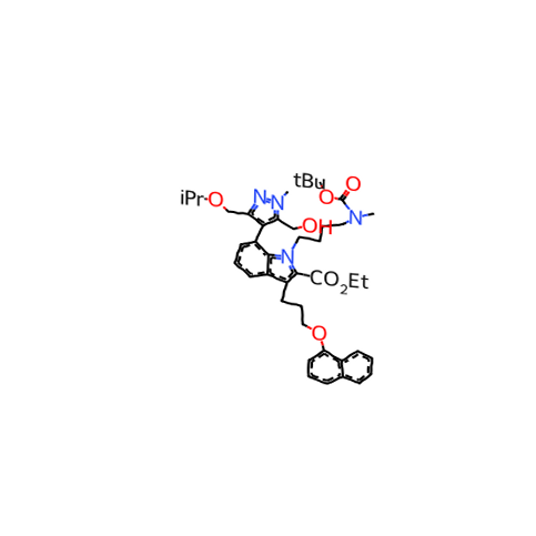 CCOC(=O)c1c(CCCOc2cccc3ccccc23)c2cccc(-c3c(COC(C)C)nn(C)c3CO)c2n1CCCCN(C)C(=O)OC(C)(C)C